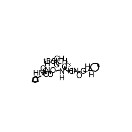 CC(C)(C)[Si](C)(C)OC[C@@H](COC(=O)NS(=O)(=O)NCc1ccccc1)NC(=O)CCCNC(=O)OC[C@@H]1[C@@H]2CCC#CCC[C@@H]21